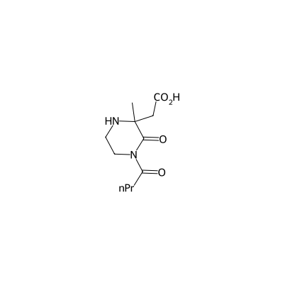 CCCC(=O)N1CCNC(C)(CC(=O)O)C1=O